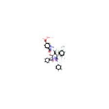 C[C@]1(C(=O)Nc2cccc(Cl)c2)[C@@H](c2cccc(Cl)c2F)[C@@H]2Cn3nc4cc(C(=O)O)ccc4c3OC[C@@H]2N1CC1CCCC1